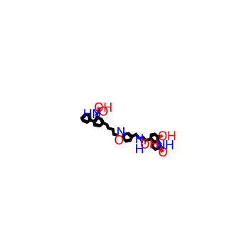 O=C(O)Nc1cc(CCCCc2nc3cc(CNC[C@H](O)c4ccc(O)c5c4CCC(=O)N5)ccc3o2)ccc1-c1ccccc1